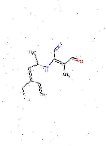 C=C/C(=C\C(C)N/C(C=N)=C(\C)C=O)CC